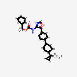 C[C@@H](OC(=O)Nc1ncoc1-c1ccc(-c2ccc(C3(C(=O)O)CC3)cc2)cc1)c1ccccc1